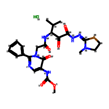 COC(=O)Nc1cnc(-c2ccccc2)n(CC(=O)N[C@H](C(=O)C(=O)NN=C2SCCN2C)C(C)C)c1=O.Cl